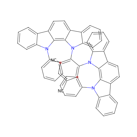 N#Cc1cc(C#N)c(-n2c3ccccc3c3ccc4c5ccccc5n(-c5ccccc5)c4c32)c(-n2c3ccccc3c3ccc4c5ccccc5n(-c5ccccc5)c4c32)c1